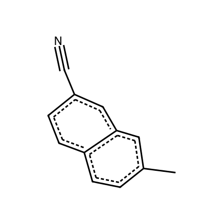 Cc1ccc2ccc(C#N)cc2c1